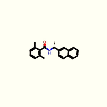 Cc1cccc(C)c1C(=O)N[C@H](C)c1ccc2ccccc2c1